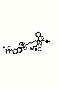 COCCc1nc2c(N)nc3ccccc3c2n1CCCCNS(=O)(=O)c1ccc2c(c1)CN(C(=O)C(F)(F)F)CC2